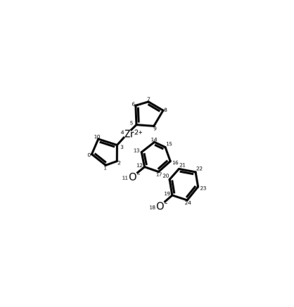 C1=CC[C]([Zr+2][C]2=CC=CC2)=C1.[O-]c1ccccc1.[O-]c1ccccc1